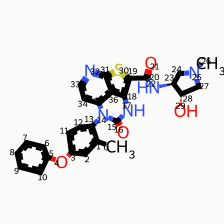 Cc1cc(Oc2ccccc2)ccc1N1C(=O)Nc2c(C(=O)N[C@H]3CN(C)C[C@@H]3O)sc3nccc1c23